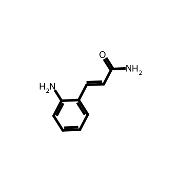 NC(=O)/C=C/c1ccccc1N